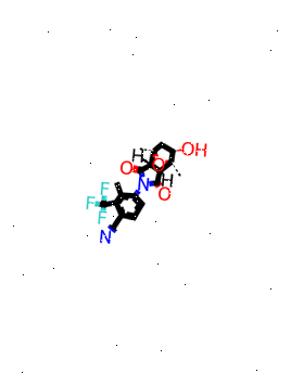 Cc1c(N2C(=O)[C@@H]3[C@H](C2=O)[C@@]2(C)C[C@H](O)[C@]3(C)O2)ccc(C#N)c1C(F)(F)F